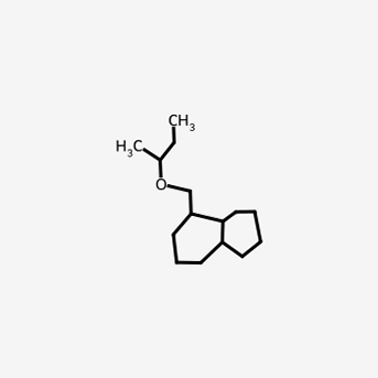 CCC(C)OCC1CCCC2CCCCC21